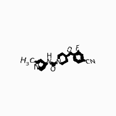 Cc1cc(NC(=O)N2CCC(C(=O)c3ccc(C#N)cc3F)CC2)ccn1